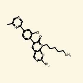 Cc1cncc(-c2ccc(-c3cc4cnc(N)nc4n(CCCCCN)c3=O)c(Cl)c2)n1